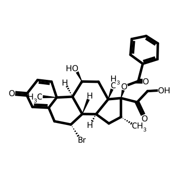 C[C@@H]1C[C@H]2[C@H]3[C@H]([C@@H](O)C[C@]2(C)[C@]1(OC(=O)c1ccccc1)C(=O)CO)[C@@]1(C)C=CC(=O)C=C1C[C@H]3Br